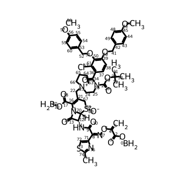 BOC(=O)C(=C)O/N=C(\C(=O)N[C@@H]1C(=O)N2C(C(=O)OB)=C(C[N+]3(CCN(C(=O)OC(C)(C)C)C(=O)c4ccc(OCc5ccc(OC)cc5)c(OCc5ccc(OC)cc5)c4Cl)CCCC3)C[S+]([O-])[C@H]12)c1csc(C)n1